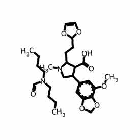 CCCCN(C=O)CCCC.COc1cc(C2CN(C)C(CCC3OC=CO3)C2C(=O)O)cc2c1OCO2